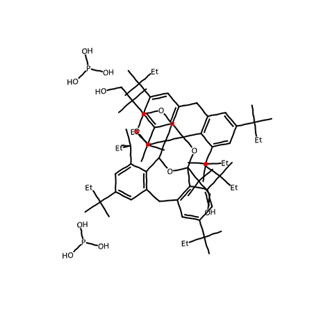 CCC(C)(C)c1cc2c(c(C(C)(C)CC)c1)C1OC(C(C)(C)CO)(OC3(c4c(cc(C(C)(C)CC)cc4C(C)(C)CC)Cc4cc(C(C)(C)CC)cc(C(C)(C)CC)c43)C13COC(C(C)(C)CO)OC3)c1c(cc(C(C)(C)CC)cc1C(C)(C)CC)C2.OP(O)O.OP(O)O